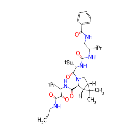 C=CCNC(=O)C(=O)C(CCC)NC(=O)[C@@H]1[C@@H]2[C@H](CN1C(=O)[C@@H](NC(=O)N[C@H](CNC(=O)c1ccccc1)C(C)C)C(C)(C)C)C2(C)C